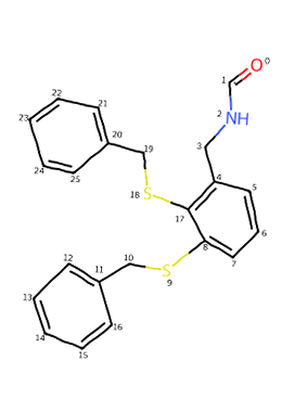 O=[C]NCc1cccc(SCc2ccccc2)c1SCc1ccccc1